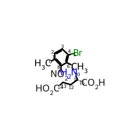 Cc1ccc(Br)c(C)c1[N+](=O)[O-].N[C@@H](CCC(=O)O)C(=O)O